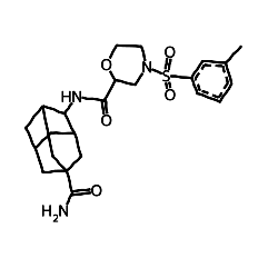 Cc1cccc(S(=O)(=O)N2CCOC(C(=O)NC3C4CC5CC3CC(C(N)=O)(C5)C4)C2)c1